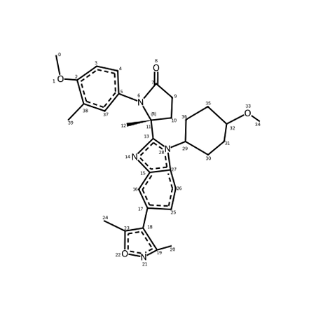 COc1ccc(N2C(=O)CC[C@]2(C)c2nc3cc(-c4c(C)noc4C)ccc3n2C2CCC(OC)CC2)cc1C